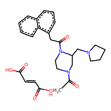 CC(=O)N1CCN(C(=O)Cc2cccc3ccccc23)C(CN2CCCC2)C1.O=C(O)C=CC(=O)O